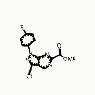 COC(=O)c1ncc2c(Cl)nn(-c3ccc(F)cc3)c2n1